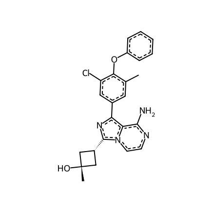 Cc1cc(-c2nc([C@H]3C[C@@](C)(O)C3)n3ccnc(N)c23)cc(Cl)c1Oc1ccccc1